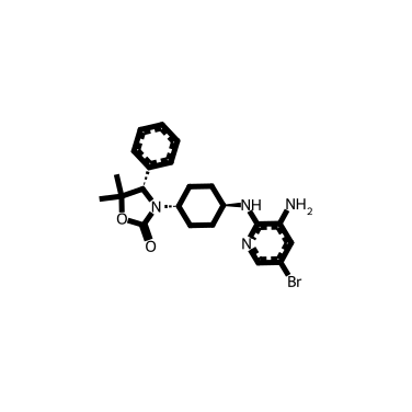 CC1(C)OC(=O)N([C@H]2CC[C@H](Nc3ncc(Br)cc3N)CC2)[C@H]1c1ccccc1